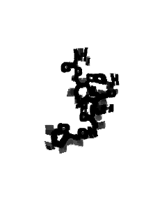 NC(=O)OCC1=C(C(=O)O)N2C(=O)[C@@H](NC(=O)/C=N\OCc3ccco3)[C@H]2SC1